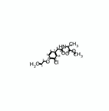 C=CCOc1ccc(CC(=O)N[C@@H](C)C(=O)OC)cc1Cl